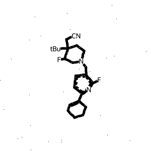 CC(C)(C)C1(CC#N)CCN(Cc2ccc(C3=CCCCC3)nc2F)CC1F